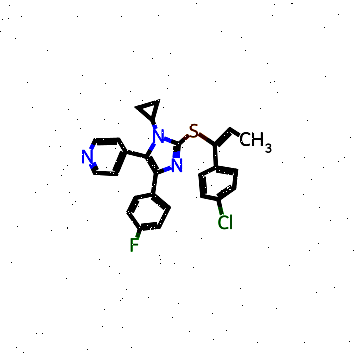 CC=C(Sc1nc(-c2ccc(F)cc2)c(-c2ccncc2)n1C1CC1)c1ccc(Cl)cc1